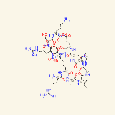 CC[C@H](C)[C@H](NC(=O)[C@H](C)NC(=O)[C@H](CCCCNc1ccc([N+](=O)[O-])cc1[N+](=O)[O-])NC(=O)[C@H](N)CCCNC(=N)N)C(=O)N[C@@H](C)C(=O)N[C@@H](CC(C)C)C(=O)N[C@@H](Cc1c[nH]cn1)C(=O)N[C@@H](CCC(N)=O)C(=O)N[C@@H](CO)C(=O)N[C@@H](CCCNC(=N)N)C(=O)N[C@@H](CO)C(=O)N[C@@H](CCCCN)C(=O)O